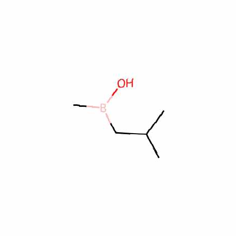 CB(O)CC(C)C